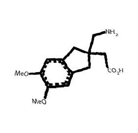 COc1cc2c(cc1OC)CC(CN)(CC(=O)O)C2